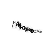 COc1ccc(CNC(=O)NC2CCC(C(=O)N3CCN(C)C(CO)C3)CC2)cc1